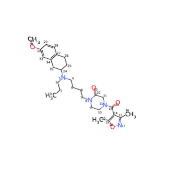 CCCN(CCCCN1CCN(C(=O)c2c(C)noc2C)CC1=O)C1CCc2ccc(OC)cc2C1